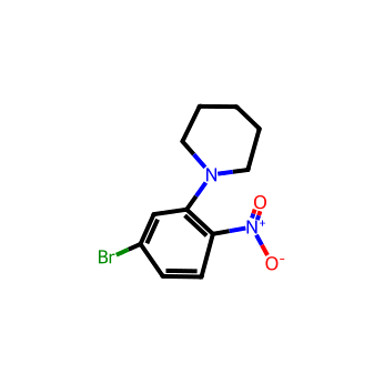 O=[N+]([O-])c1ccc(Br)cc1N1CCCCC1